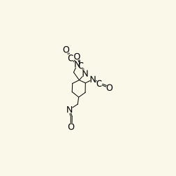 O=C=NCC1CCC(CN=C=O)(N=C=O)C(N=C=O)C1